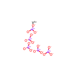 [O-][I+2]([O-])[O-].[O-][I+2]([O-])[O-].[O-][I+2]([O-])[O-].[O-][I+2]([O-])[O-].[O-][I+2]([O-])[O-].[V+5]